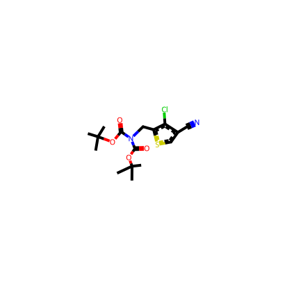 CC(C)(C)OC(=O)N(Cc1scc(C#N)c1Cl)C(=O)OC(C)(C)C